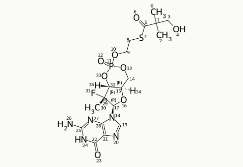 CC(C)(CO)C(=O)SCCOP1(=O)OC[C@H]2O[C@@H](n3cnc4c(=O)[nH]c(N)nc43)[C@](C)(F)[C@@H]2O1